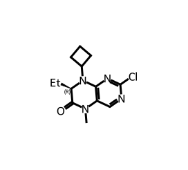 CC[C@@H]1C(=O)N(C)c2cnc(Cl)nc2N1C1CCC1